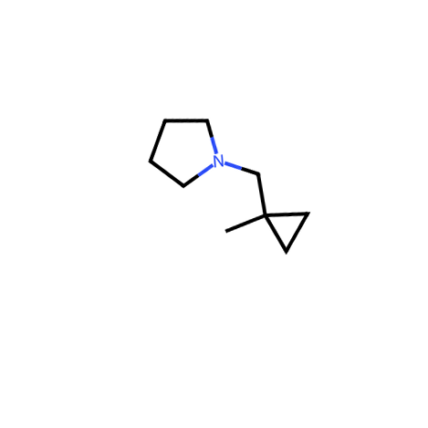 CC1(CN2CCCC2)CC1